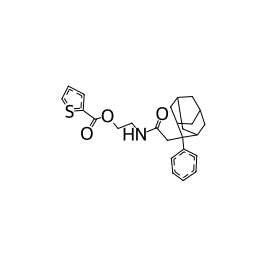 O=C(CC1(c2ccccc2)C2CC3CC(C2)CC1C3)NCCOC(=O)c1cccs1